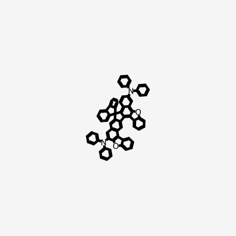 c1ccc(N(c2ccccc2)c2ccc3c4c(c5c6ccccc6oc5c3c2)-c2cc3c(cc2C42c4ccccc4-c4ccccc42)cc(N(c2ccccc2)c2ccccc2)c2oc4ccccc4c23)cc1